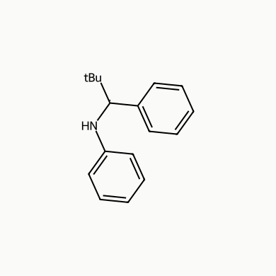 CC(C)(C)[C](Nc1ccccc1)c1ccccc1